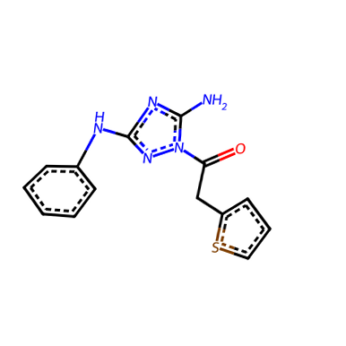 Nc1nc(Nc2ccccc2)nn1C(=O)Cc1cccs1